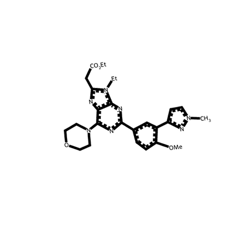 CCOC(=O)Cc1nc2c(N3CCOCC3)nc(-c3ccc(OC)c(-c4ccn(C)n4)c3)nc2n1CC